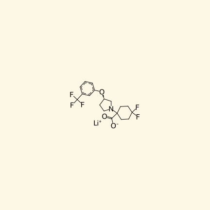 O=C([O-])C1(N2CC[C@@H](Oc3cccc(C(F)(F)F)c3)C2)CCC(F)(F)CC1.[Li+]